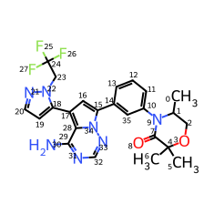 CC1COC(C)(C)C(=O)N1c1cccc(-c2cc(-c3ccnn3CC(F)(F)F)c3c(N)ncnn23)c1